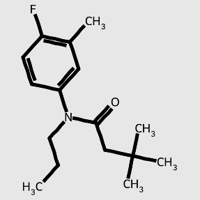 CCCN(C(=O)CC(C)(C)C)c1ccc(F)c(C)c1